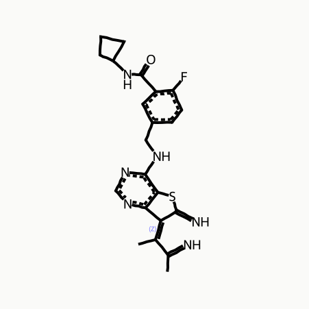 CC(=N)/C(C)=C1\C(=N)Sc2c(NCc3ccc(F)c(C(=O)NC4CCC4)c3)ncnc21